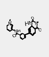 CN1C=C(NC(=O)c2cccc(-c3ccc4c(=O)n(C)c(=O)[nH]c4c3)c2)C=CC1